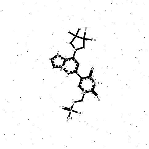 CC1(C)CN(c2cc(-c3cn(COP(=O)(O)O)c(=O)[nH]c3=O)nn3ccnc23)CC1(F)F